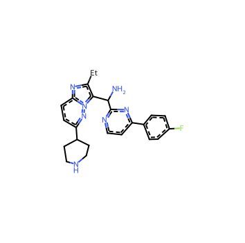 CCc1nc2ccc(C3CCNCC3)nn2c1C(N)c1nccc(-c2ccc(F)cc2)n1